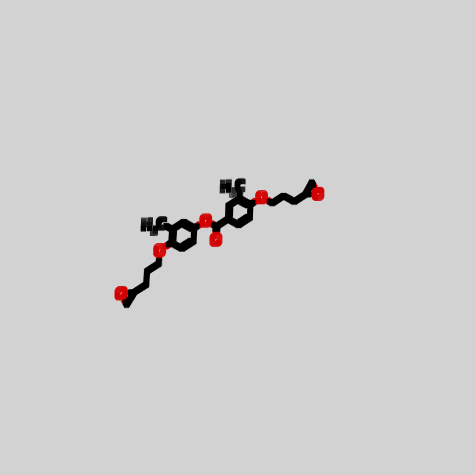 Cc1cc(OC(=O)c2ccc(OCCCC3CO3)c(C)c2)ccc1OCCCC1CO1